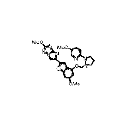 COc1ccc(N2CCC[C@H]2COc2cc(OC)cc3oc(-c4cn5nc(OC)sc5n4)cc23)nc1